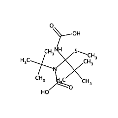 CSC(NC(=O)O)(N(C(=O)O)C(C)(C)C)C(C)(C)C